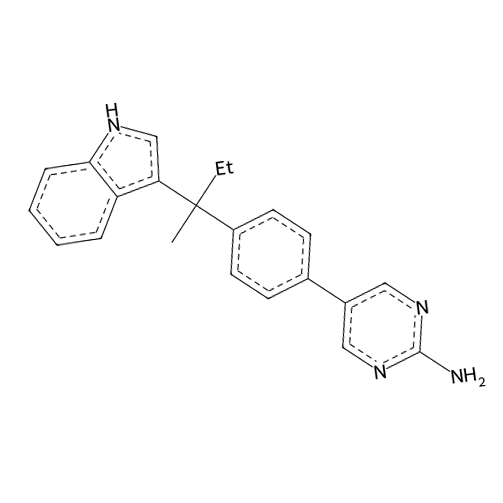 CCC(C)(c1ccc(-c2cnc(N)nc2)cc1)c1c[nH]c2ccccc12